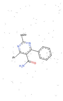 CNc1nc(-c2ccccc2)c(C(N)=O)c(C(C)C)n1